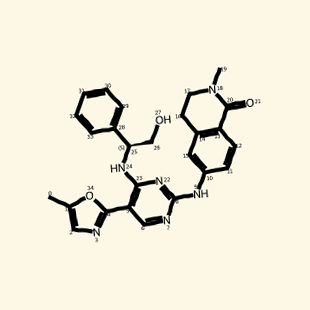 Cc1cnc(-c2cnc(Nc3ccc4c(c3)CCN(C)C4=O)nc2N[C@H](CO)c2ccccc2)o1